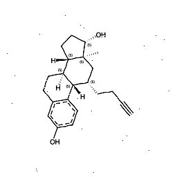 C#CCC[C@H]1C[C@]2(C)[C@@H](O)CC[C@H]2[C@@H]2CCc3cc(O)ccc3[C@@H]12